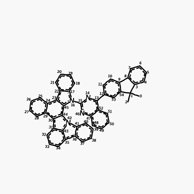 CC1(C)c2ccccc2-c2ccc(-c3nc(-n4c5ccccc5c5c6ccccc6c6c7cccc8c9ccccc9n(c87)c6c54)nc4ccccc34)cc21